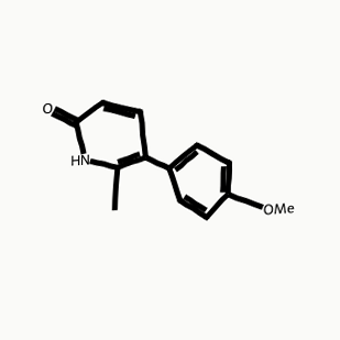 COc1ccc(-c2ccc(=O)[nH]c2C)cc1